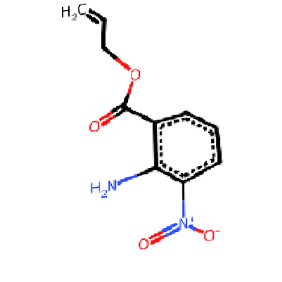 C=CCOC(=O)c1cccc([N+](=O)[O-])c1N